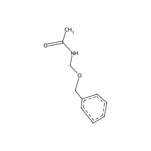 CC(=O)N[CH]OCc1ccccc1